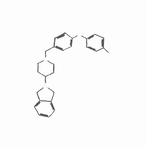 Fc1ccc(Oc2ccc(CN3CCC(N4Cc5ccccc5C4)CC3)cc2)cc1